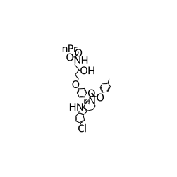 CCCOC(=O)NCC(O)CCOc1ccc([C@H]2c3[nH]c4ccc(Cl)cc4c3CCN2C(=O)Oc2ccc(C)cc2)cc1